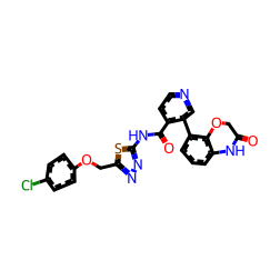 O=C1COc2c(cccc2-c2cnccc2C(=O)Nc2nnc(COc3ccc(Cl)cc3)s2)N1